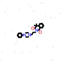 CC1(C)C(=O)N(CCCN2CCN(c3ccccc3)CC2)C(=O)c2ccccc21